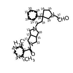 Cc1ncnc(C)c1C(=O)N1CC2CN(CCC3(c4ccccc4)CCN(CC=O)C3)CC2C1